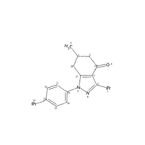 CC1CC(=O)c2c(C(C)C)nn(-c3ccc(C(C)C)cc3)c2C1